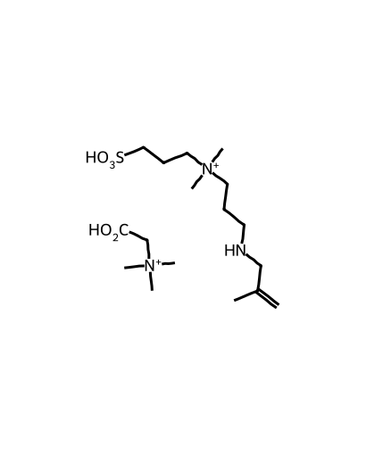 C=C(C)CNCCC[N+](C)(C)CCCS(=O)(=O)O.C[N+](C)(C)CC(=O)O